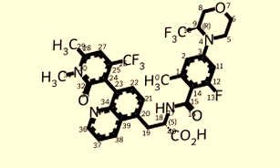 Cc1cc(N2CCOC[C@@H]2C(F)(F)F)cc(F)c1C(=O)N[C@@H](Cc1ccc(-c2c(C(F)(F)F)cc(C)n(C)c2=O)c2ncccc12)C(=O)O